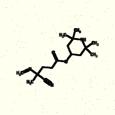 C=NC(C)(C#N)CCC(=O)OC1CC(C)(C)NC(C)(C)C1